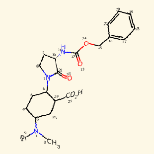 CC(C)N(C)C1CCC(N2CC[C@H](NC(=O)OCc3ccccc3)C2=O)C(C(=O)O)C1